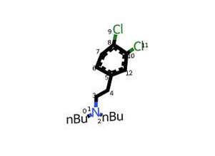 CCCCN(CCCC)CCc1ccc(Cl)c(Cl)c1